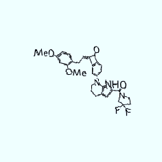 COc1ccc(C/C=C2/C(=O)c3ccc(N4CCCc5cc(C(=O)N6CCC(F)(F)C6)[nH]c54)cc32)c(OC)c1